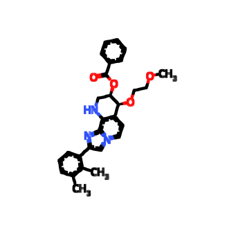 COCCO[C@H]1c2ccn3cc(-c4cccc(C)c4C)nc3c2NC[C@H]1OC(=O)c1ccccc1